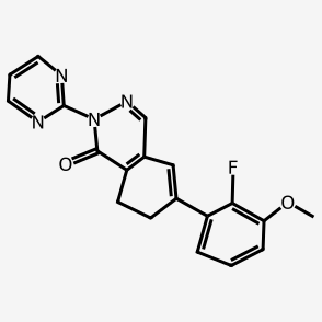 COc1cccc(C2=Cc3cnn(-c4ncccn4)c(=O)c3CC2)c1F